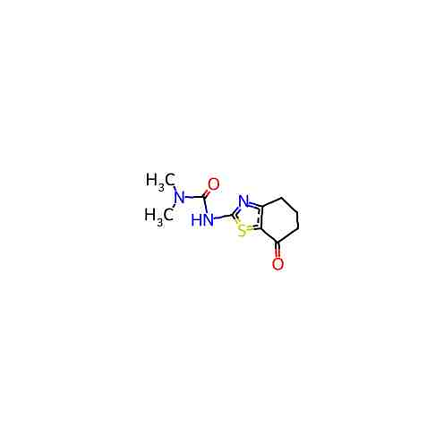 CN(C)C(=O)Nc1nc2c(s1)C(=O)CCC2